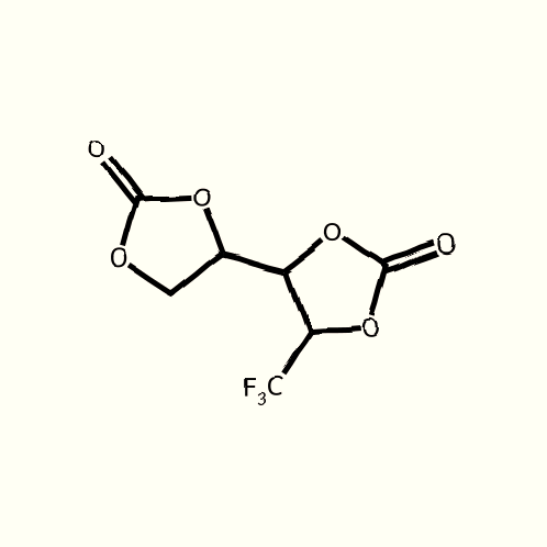 O=C1OCC(C2OC(=O)OC2C(F)(F)F)O1